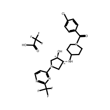 O=C(O)C(F)(F)F.O=C(c1ccc(Cl)cc1)N1CCC(N[C@@H]2CN(c3ccnc(C(F)(F)F)n3)C[C@H]2O)CC1